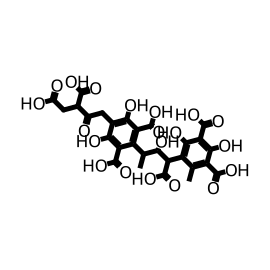 Cc1c(C(=O)O)c(O)c(C(=O)O)c(O)c1C(C(=O)O)C(O)C(C)c1c(C(=O)O)c(O)c(CC(=O)C(CC(=O)O)C(=O)O)c(O)c1C(=O)O